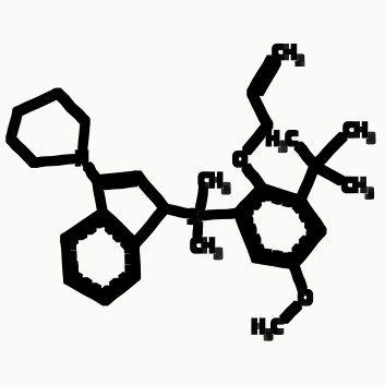 C=CCOc1c(C(C)(C)C)cc(OC)cc1[Si](C)(C)C1C=C(N2CCCCC2)c2ccccc21